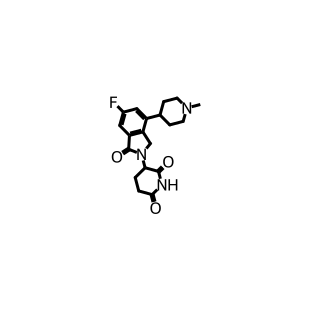 CN1CCC(c2cc(F)cc3c2CN(C2CCC(=O)NC2=O)C3=O)CC1